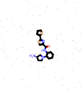 N[C@@H]1CCN(c2ccccc2NC(=O)c2csc(-c3cccs3)n2)C1